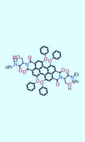 CCCN(CC)C(=O)C(CO)N1C(=O)c2cc(Oc3ccccc3)c3c4c(Oc5ccccc5)cc5c6c(cc(Oc7ccccc7)c(c7c(Oc8ccccc8)cc(c2c37)C1=O)c64)C(=O)N(C(CO)C(=O)N(CC)CCC)C5=O